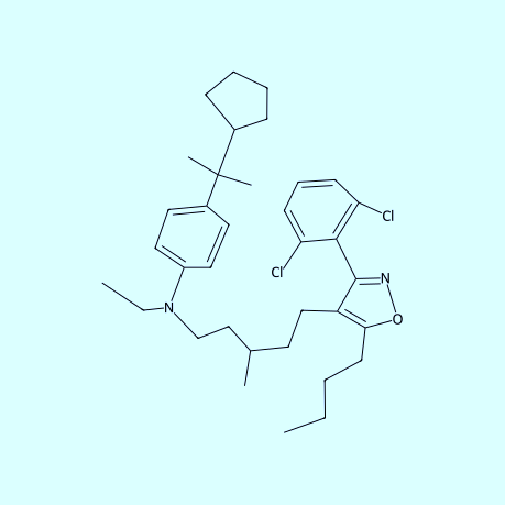 CCCCc1onc(-c2c(Cl)cccc2Cl)c1CCC(C)CCN(CC)c1ccc(C(C)(C)C2CCCC2)cc1